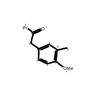 COc1ccc(CC(=O)C(C)C)cc1C